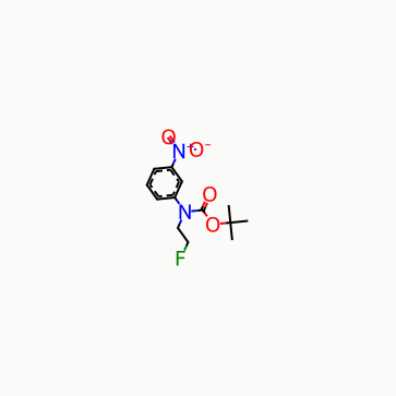 CC(C)(C)OC(=O)N(CCF)c1cccc([N+](=O)[O-])c1